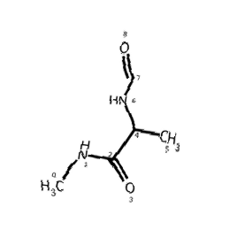 CNC(=O)C(C)NC=O